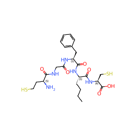 CCCC[C@H](NC(=O)[C@H](Cc1ccccc1)NC(=O)CNC(=O)[C@@H](N)CCS)C(=O)N[C@@H](CS)C(=O)O